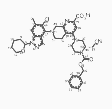 Cc1cc2c(cnn2C2CCCCO2)c(N2CCc3c(N4CCN(C(=O)OCc5ccccc5)[C@@H](CC#N)C4)cc(C(=O)O)nc3C2)c1Cl